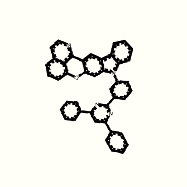 c1ccc(-c2cc(-c3ccccc3)nc(-c3cccc(-n4c5ccccc5c5cc6c(cc54)Oc4cccc5ccnc-6c45)c3)n2)cc1